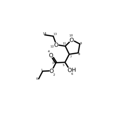 CCOC(=O)C(O)C1CCOC1OCC